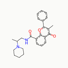 Cc1c(-c2ccccc2)oc2c(C(=O)NCC(C)N3CCCCC3)cccc2c1=O